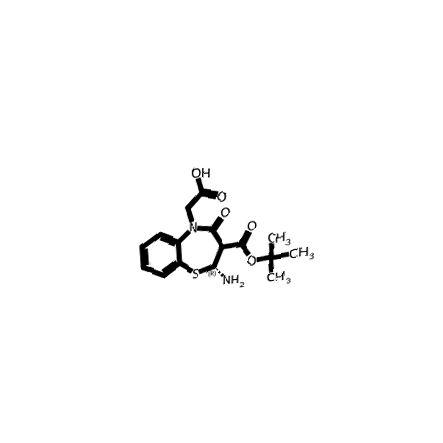 CC(C)(C)OC(=O)C1C(=O)N(CC(=O)O)c2ccccc2S[C@H]1N